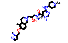 CCCC1(C(=O)NC[C@H](O)CN2CCc3c(ccc(OCc4ccnn4C)c3C)C2)CC(NC2CCN(C(C)=O)CC2)=NCN1